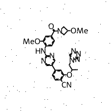 COc1cc(C(=O)N2CC(OC)C2)ccc1Nc1ncc(-c2ccc(C#N)c(OC(C)Cn3cnnn3)c2)cn1